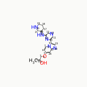 C[C@H](O)COc1ccn2c(-c3cncc(N[C@@H]4CCCNC4)n3)cnc2c1